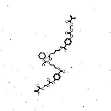 C=C(F)C(=O)OCOC(=O)Oc1ccc(C(=O)SCCCSC(=O)[C@H]2CCCC[C@@H]2C(=O)SCCCSC(=O)c2ccc(OC(=O)OCOC(=O)C(=C)F)cc2)cc1